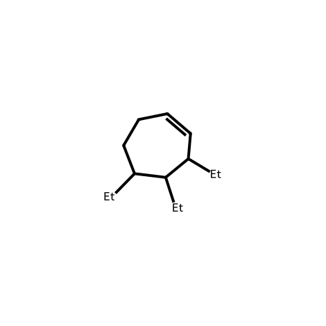 CCC1C=CCCC(CC)C1CC